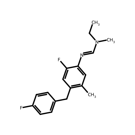 CCN(C)C=Nc1cc(C)c(Cc2ccc(F)cc2)cc1F